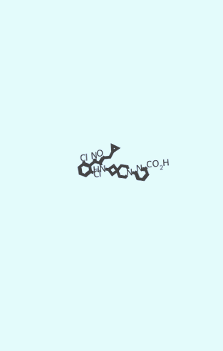 O=C(O)c1cccc(N2CCC3(CC2)CC(Nc2c(-c4c(Cl)cccc4Cl)noc2CC2CC2)C3)n1